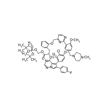 COc1ccccc1-c1nccc(COc2ccccc2CC(Oc2ncnn3cc(-c4ccc(F)cc4)c(-c4ccc(OCCN5CCN(C)CC5)c(Cl)c4C)c23)C(=O)OCOP(=O)(OC(C)(C)C)OC(C)(C)C)n1